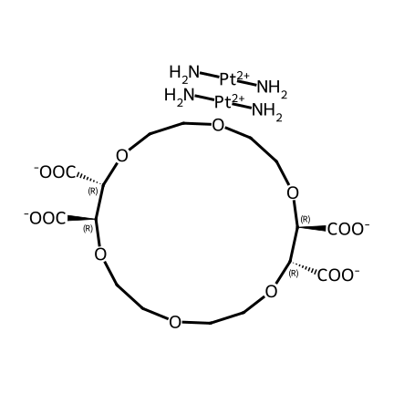 O=C([O-])[C@@H]1OCCOCCO[C@@H](C(=O)[O-])[C@H](C(=O)[O-])OCCOCCO[C@H]1C(=O)[O-].[NH2][Pt+2][NH2].[NH2][Pt+2][NH2]